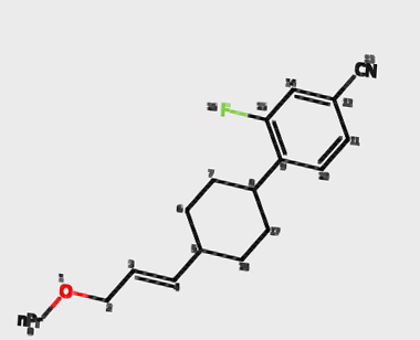 CCCOCC=CC1CCC(c2ccc(C#N)cc2F)CC1